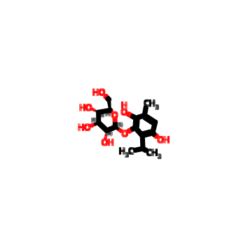 Cc1cc(O)c(C(C)C)c(O[C@@H]2O[C@H](CO)[C@@H](O)[C@H](O)[C@H]2O)c1O